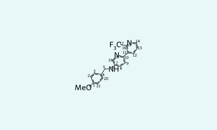 COc1ccc(CNc2ccc(-c3cccnc3C(F)(F)F)nc2)cc1